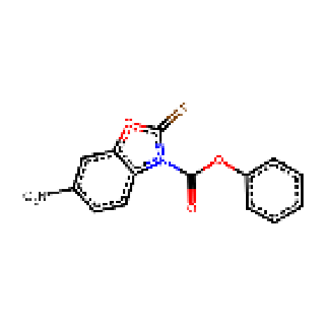 O=C(Oc1ccccc1)n1c(=S)oc2cc([N+](=O)[O-])ccc21